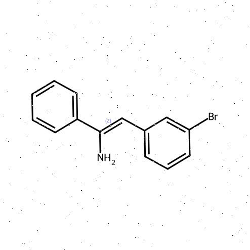 N/C(=C\c1cccc(Br)c1)c1ccccc1